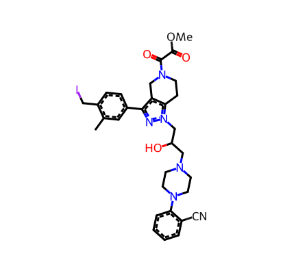 COC(=O)C(=O)N1CCc2c(c(-c3ccc(CI)c(C)c3)nn2CC(O)CN2CCN(c3ccccc3C#N)CC2)C1